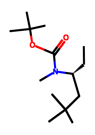 CC[C@H](CC(C)(C)C)N(C)C(=O)OC(C)(C)C